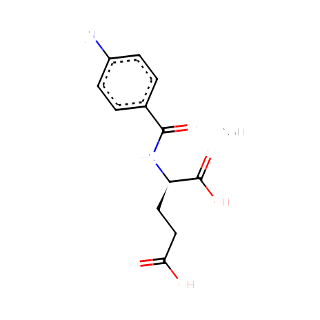 Nc1ccc(C(=O)N[C@H](CCC(=O)O)C(=O)O)cc1.[NaH]